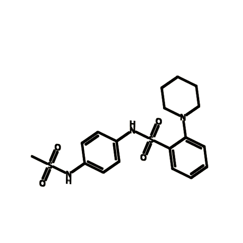 CS(=O)(=O)Nc1ccc(NS(=O)(=O)c2ccccc2N2CCCCC2)cc1